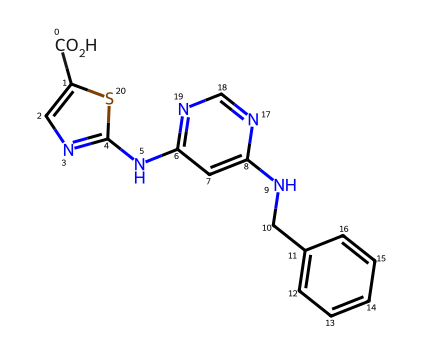 O=C(O)c1cnc(Nc2cc(NCc3ccccc3)ncn2)s1